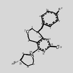 Fc1ccc(C2COCc3c2nc(Cl)nc3N2CC[C@H](F)C2)cc1